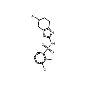 CC(=O)N1CCc2nc(NS(=O)(=O)c3cccc(Cl)c3C)sc2C1